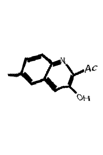 CC(=O)c1nc2ccc(C)cc2cc1O